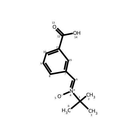 CC(C)(C)[N+]([O-])=Cc1cccc(C(=O)O)c1